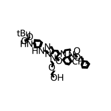 Cc1cccc2c1N(C(=O)OCc1ccccc1)CCN2c1cc2cnc(Nc3cccc(NC(=O)OC(C)(C)C)c3)nc2n(CCOCCO)c1=O